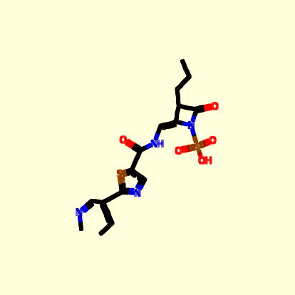 C/C=C(\C=N/C)c1ncc(C(=O)N/C=C2/C(CCC)C(=O)N2S(=O)(=O)O)s1